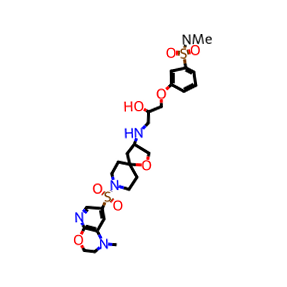 CNS(=O)(=O)c1cccc(OCC(O)CNC2COC3(CCN(S(=O)(=O)c4cnc5c(c4)N(C)CCO5)CC3)C2)c1